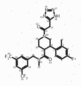 Cc1cc(F)ccc1C1CN(C(=O)Cc2nnn[nH]2)CCC1C(=O)N(C)Cc1cc(C(F)(F)F)cc(C(F)(F)F)c1